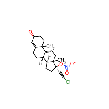 C[C@]12CCC(=O)C=C1CC[C@@H]1C2=CC[C@@]2(C)[C@H]1CC[C@]2(C#CCl)O[N+](=O)[O-]